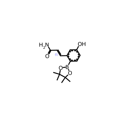 CC1(C)OB(c2ccc(O)cc2/C=C/C(N)=O)OC1(C)C